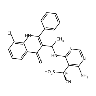 CC(Nc1ncnc(N)c1[C@@H](C#N)S(=O)(=O)O)c1c(-c2ccccc2)[nH]c2c(Cl)cccc2c1=O